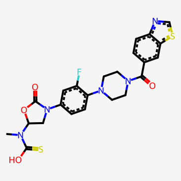 CN(C(O)=S)C1CN(c2ccc(N3CCN(C(=O)c4ccc5ncsc5c4)CC3)c(F)c2)C(=O)O1